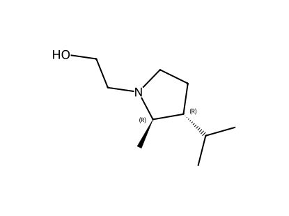 CC(C)[C@H]1CCN(CCO)[C@@H]1C